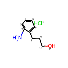 Cl.Nc1ccccc1CCCO